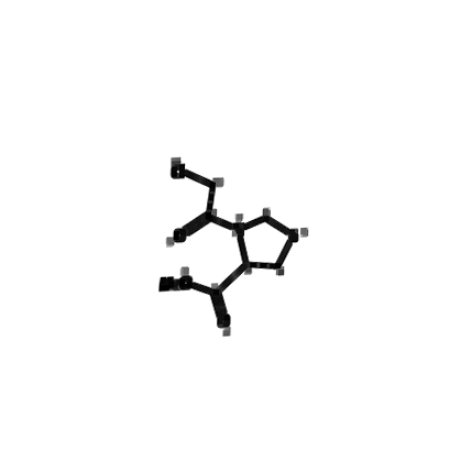 COC(=O)C1CSCN1C(=O)CCl